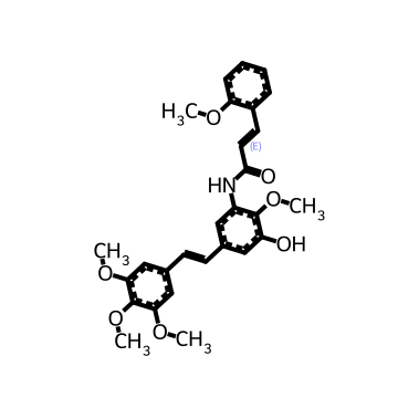 COc1ccccc1/C=C/C(=O)Nc1cc(C=Cc2cc(OC)c(OC)c(OC)c2)cc(O)c1OC